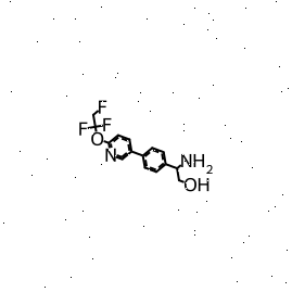 NC(CO)c1ccc(-c2ccc(OC(F)(F)CF)nc2)cc1